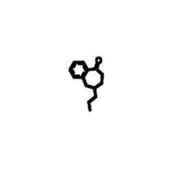 CCCC1CCC(=O)c2ccccc2C1